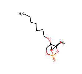 CCCCCCCOC12COP(=O)(OC1C)OC2C